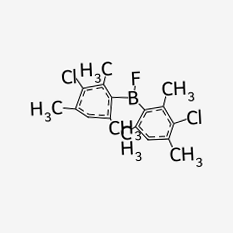 Cc1cc(C)c(B(F)c2c(C)cc(C)c(Cl)c2C)c(C)c1Cl